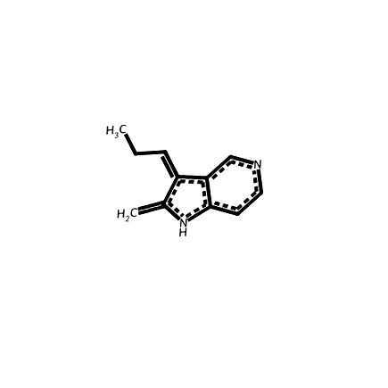 C=c1[nH]c2ccncc2/c1=C/CC